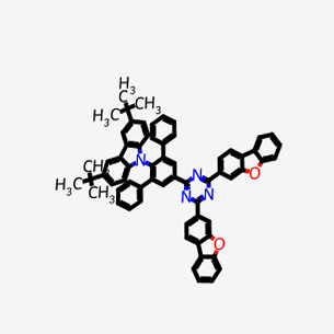 CC(C)(C)c1ccc2c(c1)c1cc(C(C)(C)C)ccc1n2-c1c(-c2ccccc2)cc(-c2nc(-c3ccc4c(c3)oc3ccccc34)nc(-c3ccc4c(c3)oc3ccccc34)n2)cc1-c1ccccc1